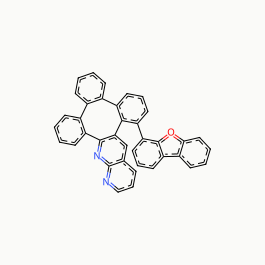 c1ccc2c(c1)-c1ccccc1-c1nc3ncccc3cc1-c1c-2cccc1-c1cccc2c1oc1ccccc12